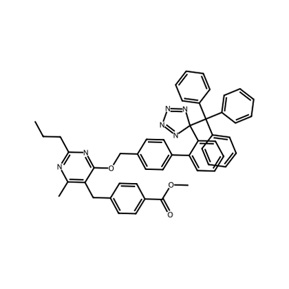 CCCc1nc(C)c(Cc2ccc(C(=O)OC)cc2)c(OCc2ccc(-c3ccccc3C3(C(c4ccccc4)(c4ccccc4)c4ccccc4)N=NN=N3)cc2)n1